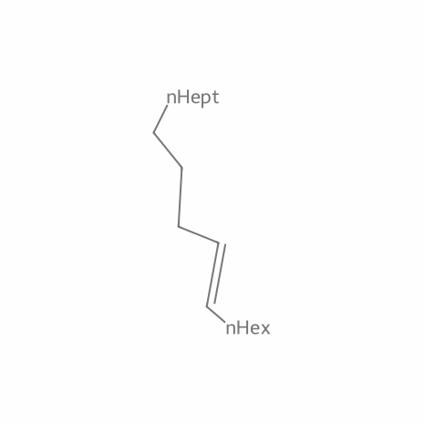 CCCCCC/C=C/CCCCCCCCCC